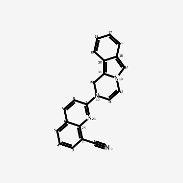 N#Cc1cccc2ccc(N3C=Cn4cc5ccccc5c4C3)nc12